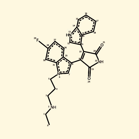 CCNCCCn1cc(C2=C(c3c[nH]c4ccccc34)C(=O)NC2=O)c2ccc(F)cc21